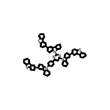 c1ccc2c(c1)sc1ccc(-c3ccc4c(c3)c3ccccc3n4-c3ccc(-c4cc(-n5c6ccccc6c6cc(-c7ccc8sc9ccccc9c8c7)ccc65)nc(-n5c6ccccc6c6cc(-c7ccc8sc9ccccc9c8c7)ccc65)n4)cc3)cc12